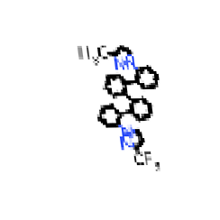 Cc1ccn(-c2ccccc2-c2ccccc2-c2ccccc2-c2ccccc2-n2ccc(C(F)(F)F)n2)n1